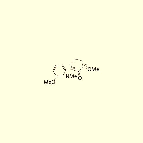 CN[C@]1(c2cccc(OC)c2)CCC[C@H](OC)C1=O